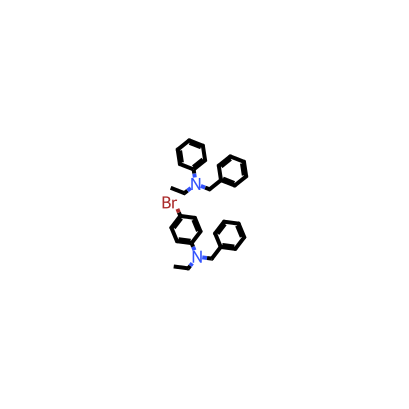 CCN(Cc1ccccc1)c1ccc(Br)cc1.CCN(Cc1ccccc1)c1ccccc1